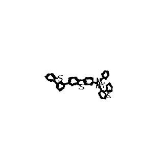 c1ccc(-c2nc(-c3ccc4c(c3)sc3cc(-c5cccc6c5sc5ccccc56)ccc34)nc(-c3cccc4sc5ccccc5c34)n2)cc1